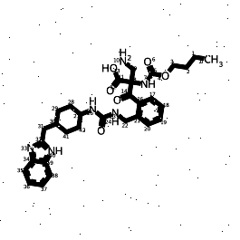 CCCCOC(=O)NC(CN)(C(=O)O)C(=O)c1ccccc1CNC(=O)NC1CCC(Cc2nc3ccccc3[nH]2)CC1